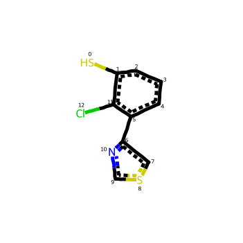 Sc1cccc(-c2cscn2)c1Cl